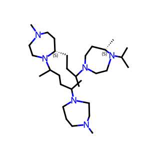 CC(CCC(C)N1CCN(C)CC[C@@H]1CCC(C)N1CC[C@H](C)N(C(C)C)CC1)N1CCCN(C)CC1